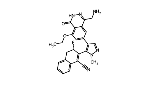 CCOc1cc(-c2cnn(C)c2C2=C(C#N)c3ccccc3C[C@@H]2F)cc2c(CN)n[nH]c(=O)c12